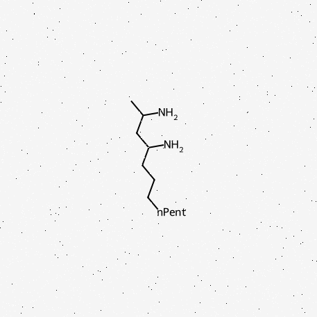 CCCCCCCCC(N)CC(C)N